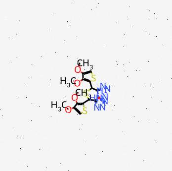 COc1csc(C(SC(c2nnn[nH]2)c2scc(OC)c2OC)c2nnn[nH]2)c1OC